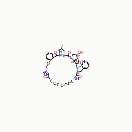 CC(C)C[C@H]1NC(=O)c2ccccc2OCc2noc(n2)CCCCCCCNC(=O)[C@H](Cc2cccnc2)N(C)C(=O)[C@H]2C[C@H](O)CN2C1=O